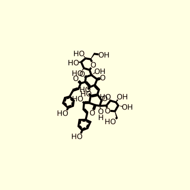 O=C(/C=C/c1ccc(O)cc1)C1=C(O)/C(=C\C2=C(O)C(=C(O)/C=C/c3ccc(O)cc3)/C(=O)[C@](O)(C3O[C@H](CO)[C@@H](O)[C@H](O)[C@H]3O)C2=O)C(=O)[C@](O)(C2O[C@H](CO)[C@@H](O)[C@H](O)[C@H]2O)C1=O